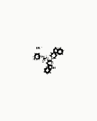 Cl.O=C(NC(Cc1c[nH]c2ccccc12)C(=O)N1CCC2(CCc3ccccc32)CC1)N[C@@H]1CCCNC1